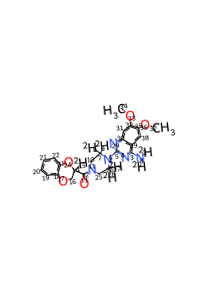 [2H]N([2H])c1nc(N2C([2H])([2H])CN(C(=O)C3([2H])COc4ccccc4O3)CC2([2H])[2H])nc2cc(OC)c(OC)cc12